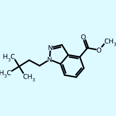 COC(=O)c1cccc2c1cnn2CCC(C)(C)C